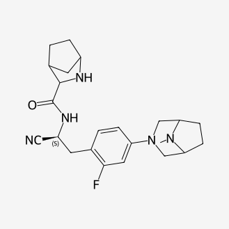 CN1C2CCC1CN(c1ccc(C[C@@H](C#N)NC(=O)C3NC4CCC3C4)c(F)c1)C2